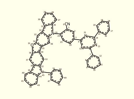 N#Cc1cc(-c2nc(-c3ccccc3)nc(-c3ccccc3)n2)ccc1-n1c2ccccc2c2cc3oc4cc5c6ccccc6n(-c6ccccc6)c5cc4c3cc21